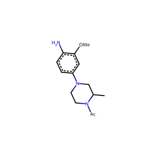 COc1cc(N2CCN(C(C)=O)C(C)C2)ccc1N